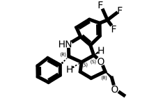 COC[C@H]1CC[C@@H]2[C@H](O1)c1cc(C(F)(F)F)ccc1N[C@H]2c1ccccc1